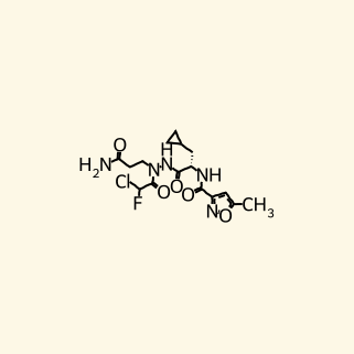 Cc1cc(C(=O)N[C@@H](CC2CC2)C(=O)NN(CCC(N)=O)C(=O)C(F)Cl)no1